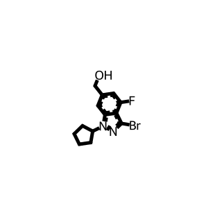 OCc1cc(F)c2c(Br)nn(C3CCCC3)c2c1